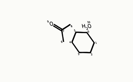 C1CCCCC1.CC(C)=O.O